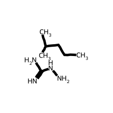 CCCC(C)C.N=C(N)NN